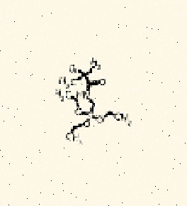 CCO[Si](CNC(=O)C(C)(C)Br)(OCC)OCC